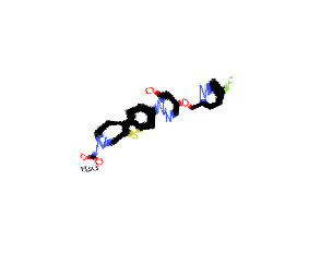 CC(C)(C)OC(=O)N1CCc2c(sc3cc(-n4ncc(OCc5ccc(F)cn5)cc4=O)ccc23)C1